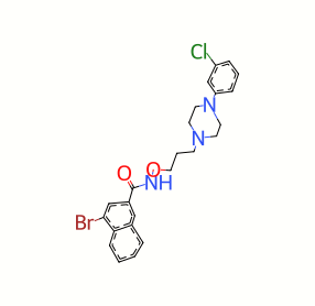 O=C(NOCCCN1CCN(c2cccc(Cl)c2)CC1)c1cc(Br)c2ccccc2c1